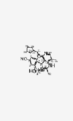 COc1cc(C#N)ccc1C1C(C(=O)O)=C(C)Nc2c(C)cnc(OCC3CCCC3)c21